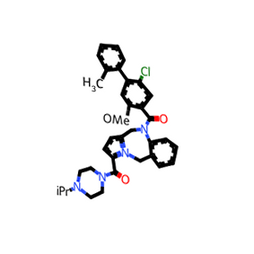 COc1cc(-c2ccccc2C)c(Cl)cc1C(=O)N1Cc2ccc(C(=O)N3CCN(C(C)C)CC3)n2Cc2ccccc21